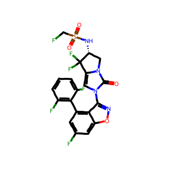 O=c1n(-c2noc3cc(F)cc(-c4c(F)cccc4F)c23)cc2n1C[C@@H](NS(=O)(=O)CF)C2(F)F